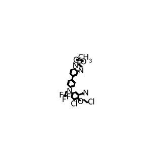 CS(=O)(=O)c1cnc2cc(-c3ccc(N(CC(F)(F)F)c4cc(Cl)c(OCCCl)c(C#N)c4)cc3)ccc2n1